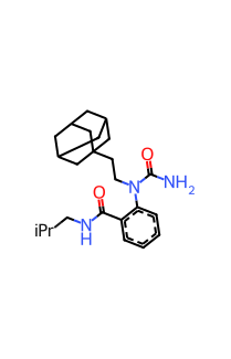 CC(C)CNC(=O)c1ccccc1N(CCC12CC3CC(CC(C3)C1)C2)C(N)=O